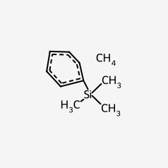 C.C[Si](C)(C)c1ccccc1